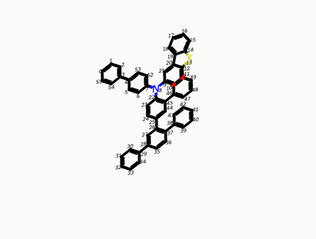 c1ccc(-c2ccc(N(c3ccc4sc5ccccc5c4c3)c3ccc(-c4cc(-c5ccccc5)ccc4-c4ccccc4)cc3-c3ccccc3)cc2)cc1